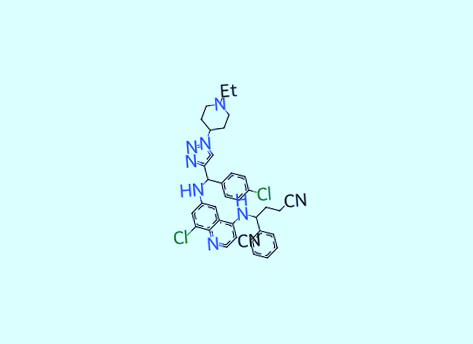 CCN1CCC(n2cc(C(Nc3cc(Cl)c4ncc(C#N)c(NC(CCC#N)c5ccccc5)c4c3)c3ccc(Cl)cc3)nn2)CC1